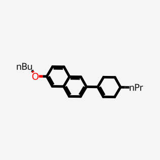 CCCCOc1ccc2cc(C3=CCC(CCC)CC3)ccc2c1